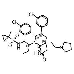 CC[C@@H](CNS(=O)(=O)C1(C)CC1)N1C(=O)[C@@](CCN2CCCC2)(CC(=O)O)C[C@H](c2cccc(Cl)c2)[C@H]1c1ccc(Cl)cc1